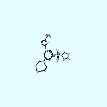 Nc1ncc(-c2cc(N3CCOCC3)cc(S(=O)(=O)[C@H]3CCOC3)c2)s1